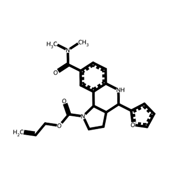 C=CCOC(=O)N1CCC2C(c3ccco3)Nc3ccc(C(=O)N(C)C)cc3C21